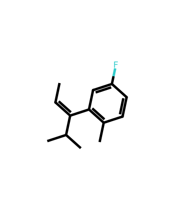 C/C=C(\c1cc(F)ccc1C)C(C)C